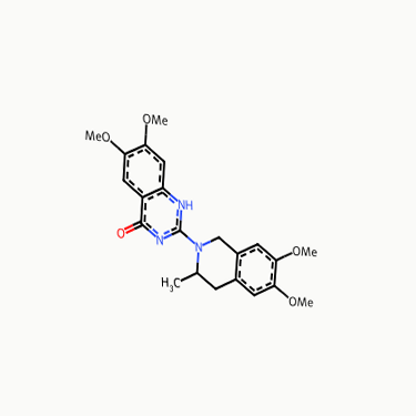 COc1cc2c(cc1OC)CN(c1nc(=O)c3cc(OC)c(OC)cc3[nH]1)C(C)C2